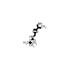 C/C=C(\C=N)c1csc(CNC(=O)OC(C)(C)C)n1